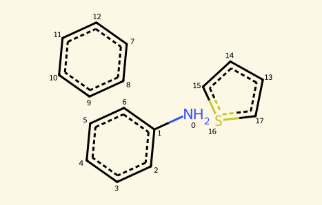 Nc1ccccc1.c1ccccc1.c1ccsc1